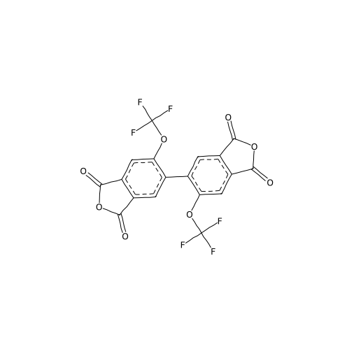 O=C1OC(=O)c2cc(-c3cc4c(cc3OC(F)(F)F)C(=O)OC4=O)c(OC(F)(F)F)cc21